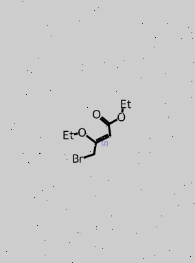 CCOC(=O)/C=C(/CBr)OCC